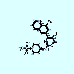 CS(=O)(=O)N1CCC(Nc2ncc(Cl)c(-c3cc(F)c4ncccc4c3)n2)CC1